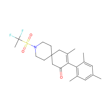 CC1=C(c2c(C)cc(C)cc2C)C(=O)CC2(CCN(S(=O)(=O)C(C)(F)F)CC2)C1